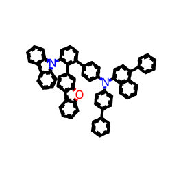 c1ccc(-c2ccc(N(c3ccc(-c4cccc(-n5c6ccccc6c6ccccc65)c4-c4ccc5c(c4)oc4ccccc45)cc3)c3ccc(-c4ccccc4)c4ccccc34)cc2)cc1